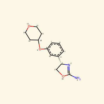 NC1=N[C@@H](c2cccc(OC3CCOCC3)c2)CO1